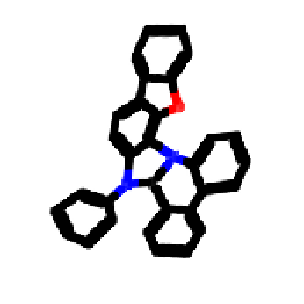 c1ccc(N2B3c4ccccc4-c4ccccc4N3c3c2ccc2c3oc3ccccc32)cc1